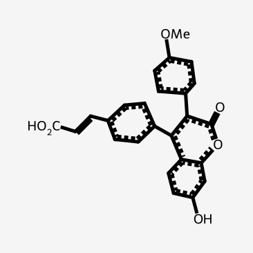 COc1ccc(-c2c(-c3ccc(/C=C/C(=O)O)cc3)c3ccc(O)cc3oc2=O)cc1